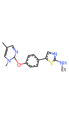 CCNc1ncc(-c2ccc(OC3N=CC(C)=CN3C)cc2)s1